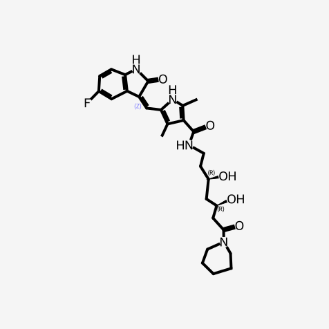 Cc1[nH]c(/C=C2\C(=O)Nc3ccc(F)cc32)c(C)c1C(=O)NCC[C@@H](O)C[C@@H](O)CC(=O)N1CCCCC1